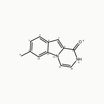 Cc1ccc2cc3c(=O)[nH]ccn3c2c1